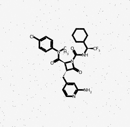 CN(C(=O)[C@@H]1[C@@H](Cc2ccnc(N)c2)C(=O)N1C(=O)N[C@@H](C1CCCCC1)C(F)(F)F)c1ccc(Cl)cc1